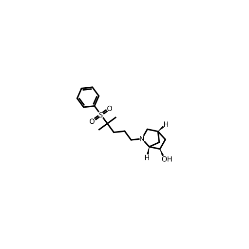 CC(C)(CCCN1C[C@@H]2C[C@@H](O)[C@H]1C2)S(=O)(=O)c1ccccc1